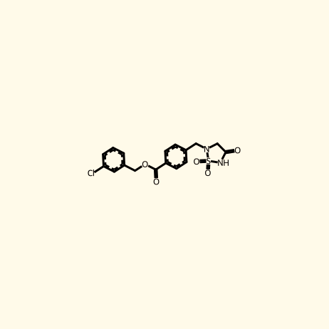 O=C1CN(Cc2ccc(C(=O)OCc3cccc(Cl)c3)cc2)S(=O)(=O)N1